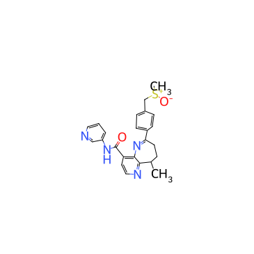 CC1CCC(c2ccc(C[S+](C)[O-])cc2)=Nc2c(C(=O)Nc3cccnc3)ccnc21